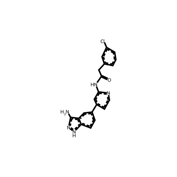 Nc1n[nH]c2ccc(-c3ccnc(NC(=O)Cc4cccc(Cl)c4)c3)cc12